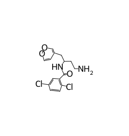 NCCC(CC1=COOC=C1)NC(=O)c1cc(Cl)ccc1Cl